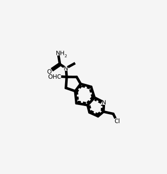 CN(C(N)=O)C1(C=O)Cc2cc3ccc(CCl)nc3cc2C1